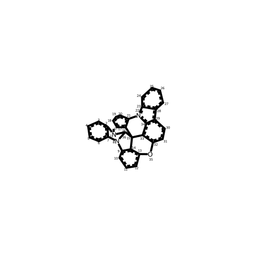 CN1c2ccccc2N2c3cccc4c3C3(c5ccccc5-n5c6ccccc6c6ccc(c3c65)O4)C12